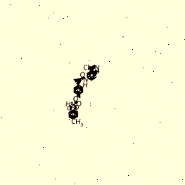 Cc1ccc(S(=O)(=O)NC(=O)OCc2ccc([C@@H]3C[C@H]3C(=O)Nc3ccc4cncc(Cl)c4c3)cc2)cc1